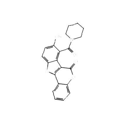 O=C(c1c(O)ccc2oc3c4ccccc4oc(=O)c3c12)N1CCCCC1